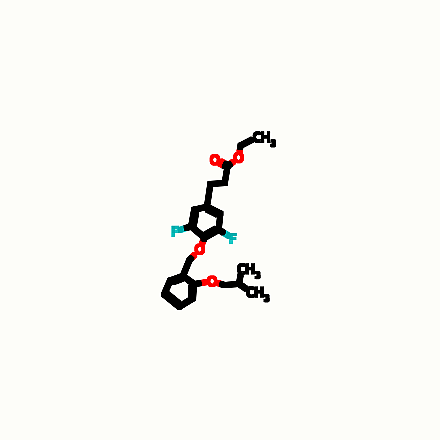 CCOC(=O)CCc1cc(F)c(OCc2ccccc2OCC(C)C)c(F)c1